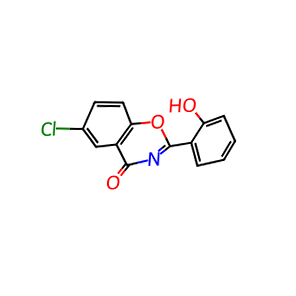 O=c1nc(-c2ccccc2O)oc2ccc(Cl)cc12